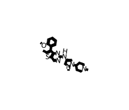 COc1ccccc1-c1c(C)sc2cnc(NC3=CN(C4CCN(C)CC4)N(C)C3)nc12